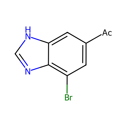 CC(=O)c1cc(Br)c2nc[nH]c2c1